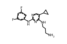 NCCCNc1nc(Nc2cc(F)cc(F)c2)ncc1C1CC1